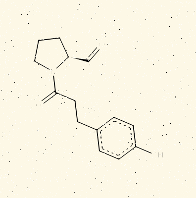 Cc1ccc(CCC(=O)N2CCC[C@H]2C=O)cc1